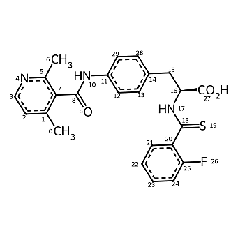 Cc1ccnc(C)c1C(=O)Nc1ccc(C[C@H](NC(=S)c2ccccc2F)C(=O)O)cc1